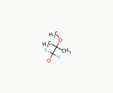 COC(C)(C)C([O])(F)F